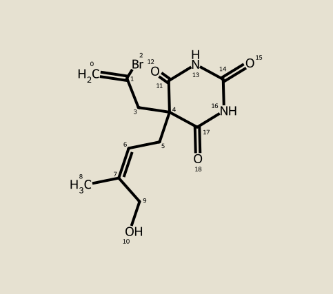 C=C(Br)CC1(CC=C(C)CO)C(=O)NC(=O)NC1=O